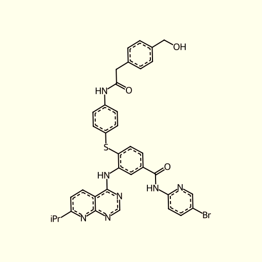 CC(C)c1ccc2c(Nc3cc(C(=O)Nc4ccc(Br)cn4)ccc3Sc3ccc(NC(=O)Cc4ccc(CO)cc4)cc3)ncnc2n1